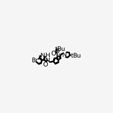 C/C=C\c1c(Br)cncc1C(=O)NCc1ccc2cc(CN3CCC(C(C)(C)C)CC3)n(C(=O)OC(C)(C)C)c2c1